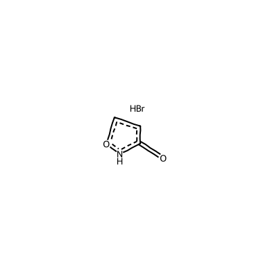 Br.O=c1cco[nH]1